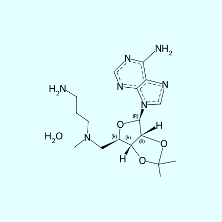 CN(CCCN)C[C@H]1O[C@@H](n2cnc3c(N)ncnc32)[C@@H]2OC(C)(C)O[C@@H]21.O